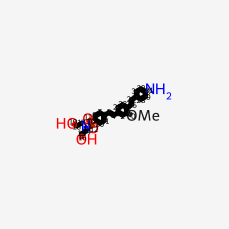 COc1cc(/C=C/c2ccc(S(=O)(=O)N(CCO)CCO)cc2)ccc1/C=C/c1ccc(N)cc1